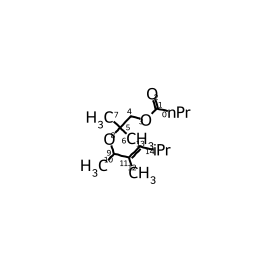 CCCC(=O)OCC(C)(C)OC(C)C(C)=CC(C)C